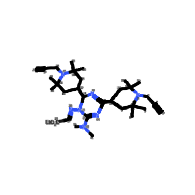 C#CCN1C(C)(C)CC(C2=NC(C3CC(C)(C)N(CC#C)C(C)(C)C3)N(N=CC(=O)OCC)C(N(C)C)=N2)CC1(C)C